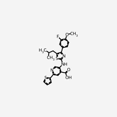 COc1ccc(-c2nc(Nc3cnc(-c4cccs4)cc3C(=O)O)sc2CC(C)C)cc1F